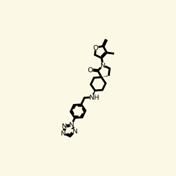 C=C1OCC(N2CC[C@]3(CC[C@H](NCc4ccc(-n5ncnn5)cc4)CC3)C2=O)=C1C